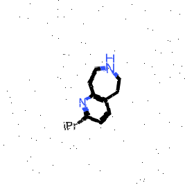 CC(C)c1ccc2c(n1)CCNCC2